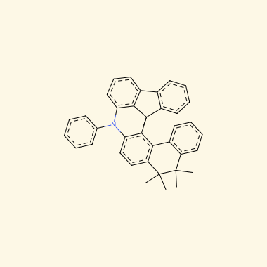 CC12c3ccccc3-c3cccc(c31)N(c1ccccc1)c1ccc3c(c12)-c1ccccc1C(C)(C)C3(C)C